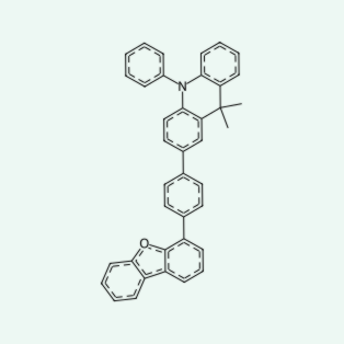 CC1(C)c2ccccc2N(c2ccccc2)c2ccc(-c3ccc(-c4cccc5c4oc4ccccc45)cc3)cc21